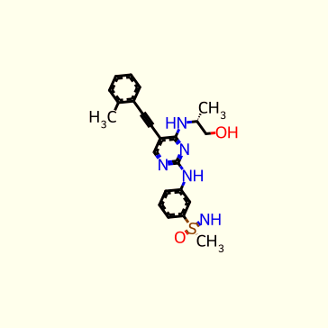 Cc1ccccc1C#Cc1cnc(Nc2cccc(S(C)(=N)=O)c2)nc1N[C@H](C)CO